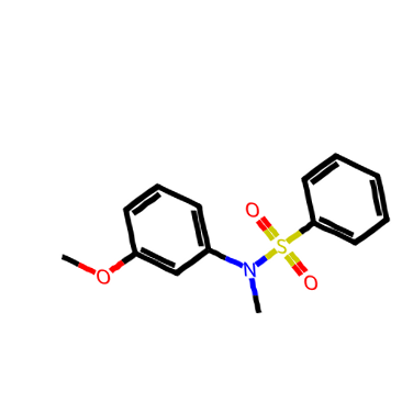 COc1cccc(N(C)S(=O)(=O)c2ccccc2)c1